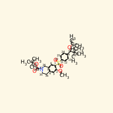 COc1cc2c(cc1S(=O)(=O)c1ccc(C(O[SiH](C)C)C(C)(C)C)cc1)CN(C(=O)OC(C)(C)C)CC2